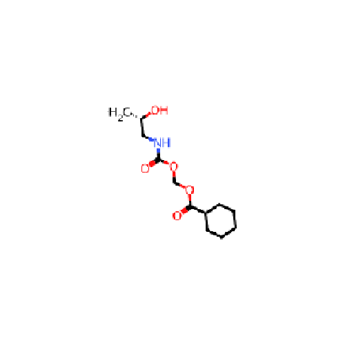 [CH2][C@H](O)CNC(=O)OCOC(=O)C1CCCCC1